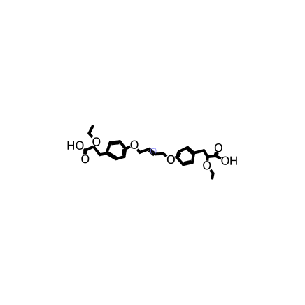 CCOC(Cc1ccc(OC/C=C/COc2ccc(CC(OCC)C(=O)O)cc2)cc1)C(=O)O